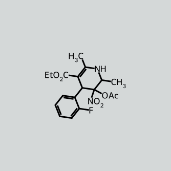 CCOC(=O)C1=C(C)NC(C)C(OC(C)=O)([N+](=O)[O-])C1c1ccccc1F